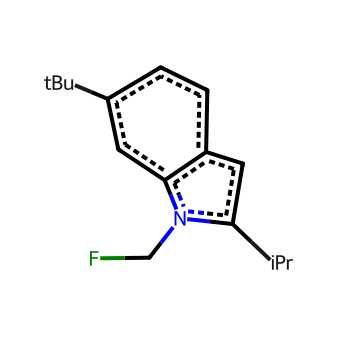 CC(C)c1cc2ccc(C(C)(C)C)cc2n1CF